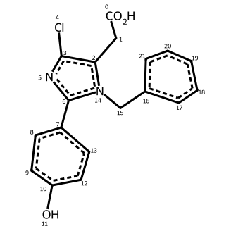 O=C(O)Cc1c(Cl)nc(-c2ccc(O)cc2)n1Cc1ccccc1